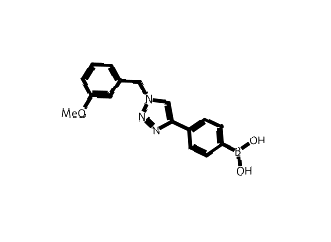 COc1cccc(Cn2cc(-c3ccc(B(O)O)cc3)nn2)c1